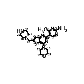 Cc1nc(N)ncc1-c1nc(N2CCOCC2)c2sc(CN3CCNCC3)cc2n1